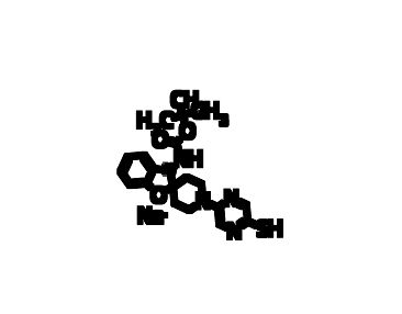 CC(C)(C)OC(=O)N[C@@H]1c2ccccc2OC12CCN(c1cnc(S)cn1)CC2.[Na]